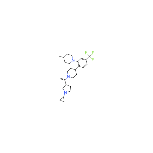 C=C(C1CCN(C2CC2)C1)N1CCC(c2ccc(C(F)(F)F)cc2N2CCC(C)CC2)CC1